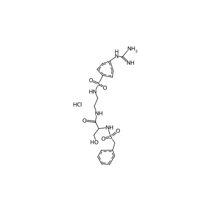 Cl.N=C(N)Nc1ccc(S(=O)(=O)NCCNC(=O)C(CO)NS(=O)(=O)Cc2ccccc2)cc1